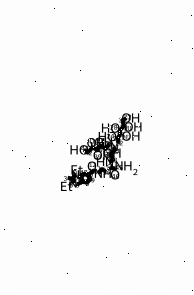 CCN1C(C)=[N+](CC)Cc2ccc(C(=O)NCC[C@H](NCCCN(C[C@H](O)[C@@H](O)[C@H](O)[C@H](O)CO)C[C@H](O)[C@@H](O)[C@H](O)[C@H](O)CO)C(N)=O)cc21